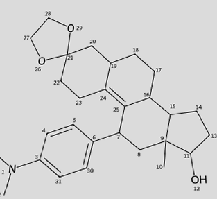 CN(C)c1ccc(C2CC3(C)C(O)CCC3C3CCC4CC5(CCC4=C23)OCCO5)cc1